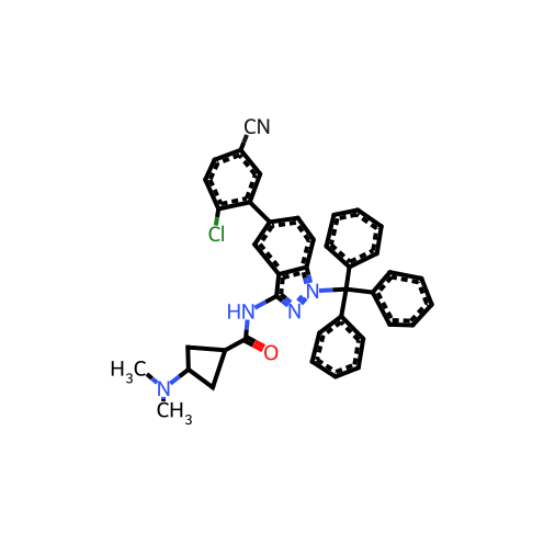 CN(C)C1CC(C(=O)Nc2nn(C(c3ccccc3)(c3ccccc3)c3ccccc3)c3ccc(-c4cc(C#N)ccc4Cl)cc23)C1